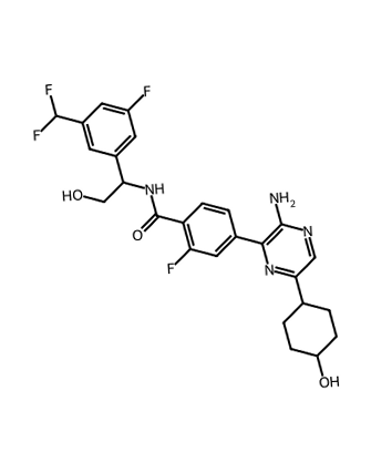 Nc1ncc(C2CCC(O)CC2)nc1-c1ccc(C(=O)NC(CO)c2cc(F)cc(C(F)F)c2)c(F)c1